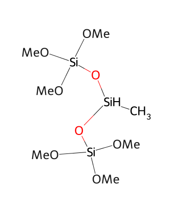 CO[Si](OC)(OC)O[SiH](C)O[Si](OC)(OC)OC